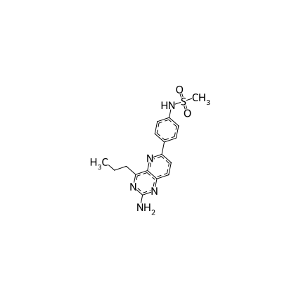 CCCc1nc(N)nc2ccc(-c3ccc(NS(C)(=O)=O)cc3)nc12